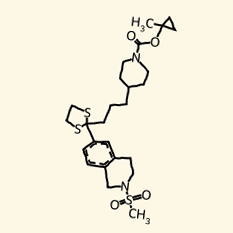 CC1(OC(=O)N2CCC(CCCC3(c4ccc5c(c4)CCN(S(C)(=O)=O)C5)SCCS3)CC2)CC1